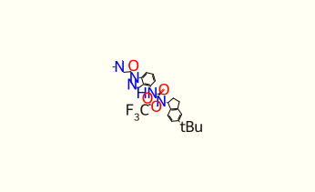 CN(C)CC(=O)n1ncc2c(NC(=O)N(OC(=O)C(F)(F)F)[C@@H]3CCc4cc(C(C)(C)C)ccc43)cccc21